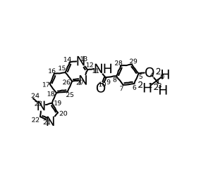 [2H]C([2H])([2H])Oc1ccc(C(=O)Nc2ncc3ccc(-c4cncn4C)cc3n2)cc1